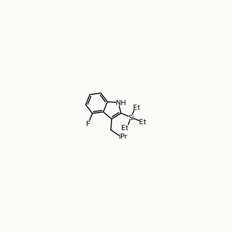 CC[Si](CC)(CC)c1[nH]c2cccc(F)c2c1CC(C)C